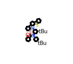 CC(C)(C)c1ccc(N2c3cc(C(C)(C)C)cc4c3B(c3oc5ccccc5c32)c2cccc3c5ccc6c7ccccc7sc6c5n-4c23)cc1